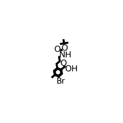 Cc1cc(CCCNC(=O)OC(C)(C)C)c(C(=O)O)cc1Br